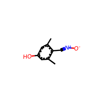 Cc1cc(O)cc(C)c1C#[N+][O-]